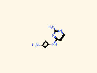 Nc1nccc(N[C@H]2C[C@@H](N)C2)n1